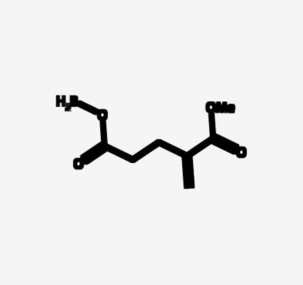 BOC(=O)CCC(=C)C(=O)OC